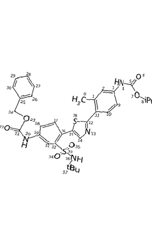 Cc1cc(NC(=O)OC(C)C)ccc1-c1ncc(-c2ccc(NC(=O)OCc3ccccc3)cc2S(=O)(=O)NC(C)(C)C)s1